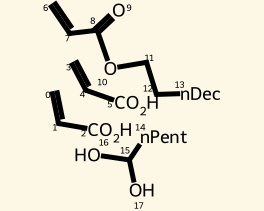 C=CC(=O)O.C=CC(=O)O.C=CC(=O)OCCCCCCCCCCCC.CCCCCC(O)O